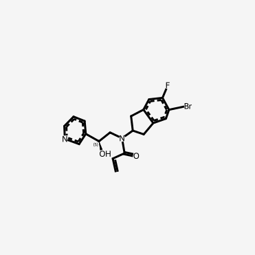 C=CC(=O)N(C[C@@H](O)c1cccnc1)C1Cc2cc(F)c(Br)cc2C1